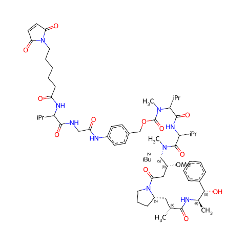 CC[C@H](C)[C@@H]([C@@H](CC(=O)N1CCC[C@H]1C[C@@H](C)C(=O)N[C@H](C)[C@@H](O)c1ccccc1)OC)N(C)C(=O)C(NC(=O)C(C(C)C)N(C)C(=O)OCc1ccc(NC(=O)CNC(=O)C(NC(=O)CCCCCN2C(=O)C=CC2=O)C(C)C)cc1)C(C)C